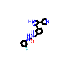 O=C(NCc1cccc(-c2n[nH]cc2-c2ccncc2)c1)Nc1cccc(F)c1